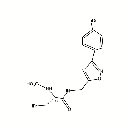 CCCCCCCCCCc1ccc(-c2noc(CNC(=O)[C@H](CC(C)C)NC(=O)O)n2)cc1